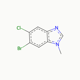 Cn1cnc2cc(Cl)c(Br)cc21